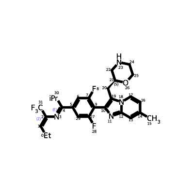 CC/C=C(\N=C(\c1cc(F)c(-c2nc3cc(C)ccn3c2C[C@H]2CNCCO2)c(F)c1)C(C)C)C(F)(F)F